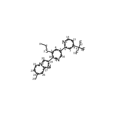 CCSc1cc(-c2cc(C(F)(F)F)ccn2)cnc1-c1cn2ccc(C)cc2n1